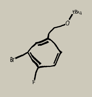 CC(C)(C)OCc1ccc(F)c(Br)c1